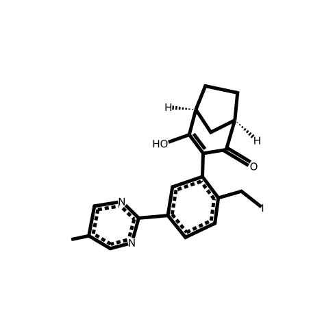 Cc1cnc(-c2ccc(CI)c(C3=C(O)[C@H]4CC[C@H](C4)C3=O)c2)nc1